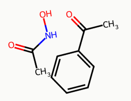 CC(=O)NO.CC(=O)c1ccccc1